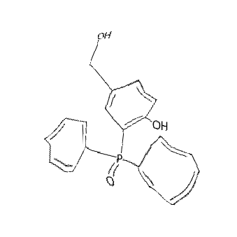 O=P(c1ccccc1)(c1ccccc1)c1cc(CO)ccc1O